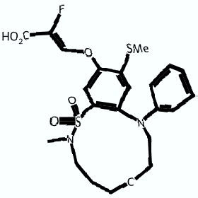 CSc1cc2c(cc1O/C=C(\F)C(=O)O)S(=O)(=O)N(C)CCCCCCN2c1ccccc1